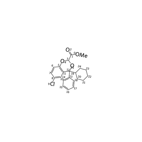 COC(=O)C1Oc2ccc(Cl)cc2C(c2ccccc2)(C2CCCCC2)O1